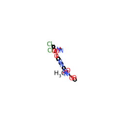 Cc1nn(CCCOC2CCCCO2)c(=O)n1-c1ccc(N2CCN(c3ccc(OC[C@@H]4CO[C@@](Cn5ccnc5)(c5ccc(Cl)cc5Cl)O4)cc3)CC2)cc1